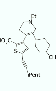 CCCC(C)C#Cc1cc(C2=C(C3CCC(C)CC3)CN(CC)CC2)c(C(=O)O)s1